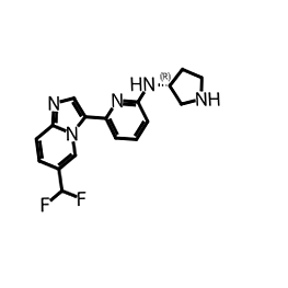 FC(F)c1ccc2ncc(-c3cccc(N[C@@H]4CCNC4)n3)n2c1